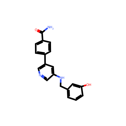 NC(=O)c1ccc(-c2cncc(NCc3cccc(O)c3)c2)cc1